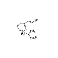 C=C(C)C(=O)O.SC=Cc1ccccc1